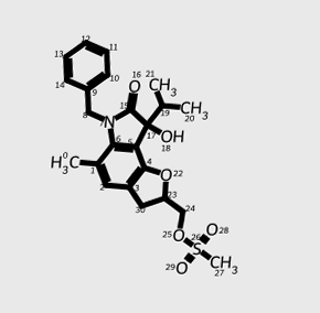 Cc1cc2c(c3c1N(Cc1ccccc1)C(=O)C3(O)C(C)C)OC(COS(C)(=O)=O)C2